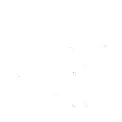 Cn1ncc(NC(=O)c2nc(-c3c(F)cccc3F)sc2N)c1N1CCCC(N)CC1